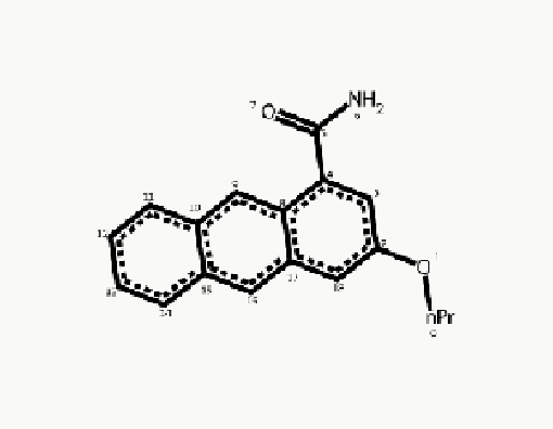 CCCOc1cc(C(N)=O)c2cc3ccccc3cc2c1